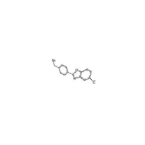 OCc1ccc(-c2nc3cc(Cl)ccc3o2)cc1